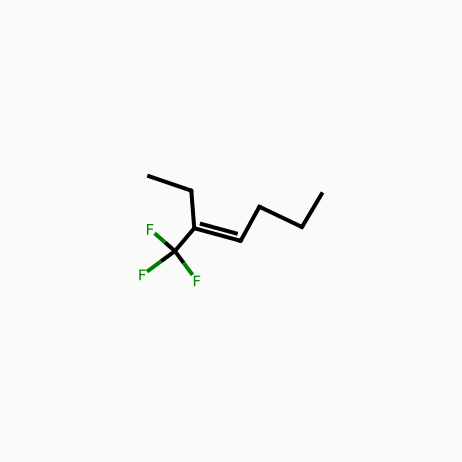 CCC/C=C(\CC)C(F)(F)F